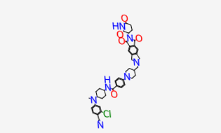 CN(c1ccc(C#N)c(Cl)c1)[C@H]1CC[C@H](NC(=O)c2ccc(N3CCC(CN4Cc5cc6c(cc5C4)C(=O)N([C@H]4CCC(=O)NC4=O)C6=O)CC3)cc2)CC1